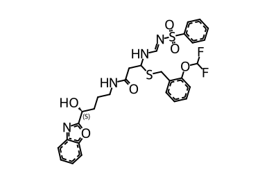 O=C(CC(NC=NS(=O)(=O)c1ccccc1)SCc1ccccc1OC(F)F)NCCC[C@H](O)c1nc2ccccc2o1